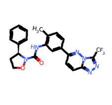 Cc1ccc(-c2ccc3nnc(C(F)(F)F)n3n2)cc1NC(=O)N1OCC[C@H]1c1ccccc1